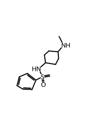 C=S(=O)(NC1CCC(NC)CC1)c1ccccc1